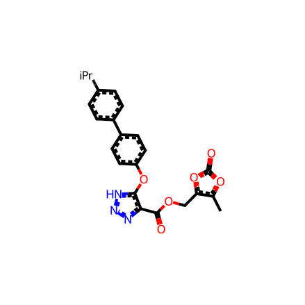 Cc1oc(=O)oc1COC(=O)c1nn[nH]c1Oc1ccc(-c2ccc(C(C)C)cc2)cc1